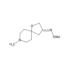 CON=C1COC2(CCN(C)CC2)C1